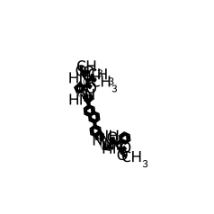 COC(=O)N[C@H](C(=O)N1CCC[C@H]1c1ncc(-c2ccc3cc(-c4ccc5nc([C@@H]6CCN6C(=O)[C@H](NC(=O)OC)c6ccccc6)[nH]c5c4)ccc3c2)[nH]1)C(C)C